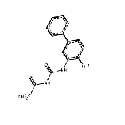 C=C(NC(=O)Nc1cc(-c2ccccc2)ccc1O)C(=O)OCC